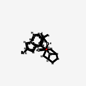 CC(C)(C)OC(=O)N1C2CCC1CN(c1ccnn3cc(Br)cc13)C2